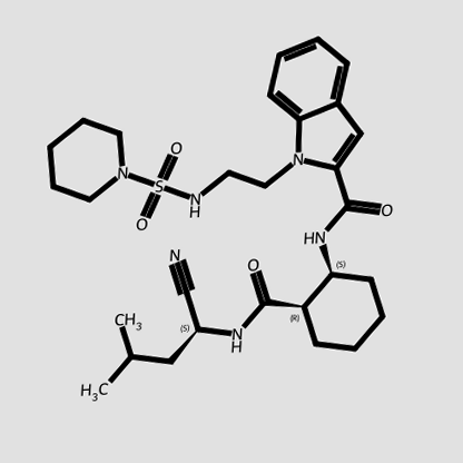 CC(C)C[C@@H](C#N)NC(=O)[C@@H]1CCCC[C@@H]1NC(=O)c1cc2ccccc2n1CCNS(=O)(=O)N1CCCCC1